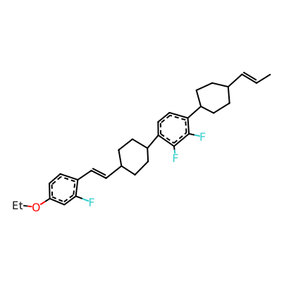 C/C=C/C1CCC(c2ccc(C3CCC(/C=C/c4ccc(OCC)cc4F)CC3)c(F)c2F)CC1